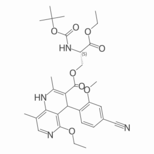 CCOC(=O)[C@H](COC(=O)C1=C(C)Nc2c(C)cnc(OCC)c2C1c1ccc(C#N)cc1OC)NC(=O)OC(C)(C)C